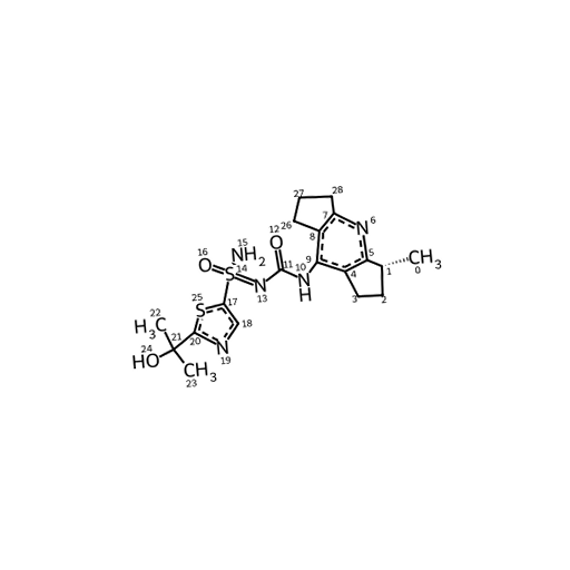 C[C@@H]1CCc2c1nc1c(c2NC(=O)N=[S@@](N)(=O)c2cnc(C(C)(C)O)s2)CCC1